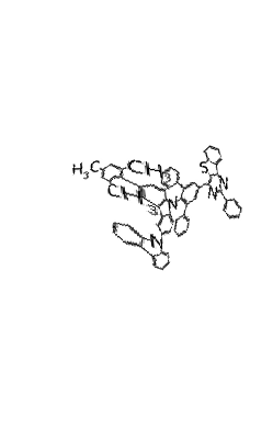 Cc1cc(C)c(-c2ccc3c(c2)c2cc(-n4c5ccccc5c5ccccc54)ccc2n3-c2c(-c3ccccc3)cc(-c3nc(-c4ccccc4)nc4c3sc3ccccc34)cc2-c2ccccc2)c(C)c1